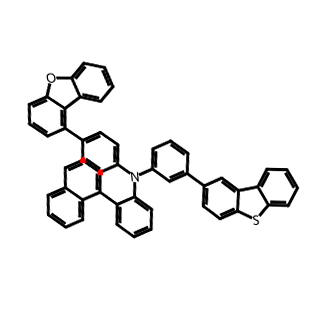 c1cc(-c2ccc3sc4ccccc4c3c2)cc(N(c2ccc(-c3cccc4oc5ccccc5c34)cc2)c2ccccc2-c2cccc3ccccc23)c1